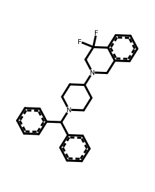 FC1(F)CN(C2CCN(C(c3ccccc3)c3ccccc3)CC2)Cc2ccccc21